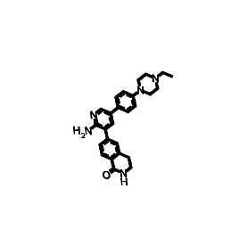 CCN1CCN(c2ccc(-c3cnc(N)c(-c4ccc5c(c4)CCNC5=O)c3)cc2)CC1